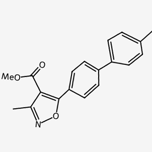 COC(=O)c1c(C)noc1-c1ccc(-c2ccc(C)cc2)cc1